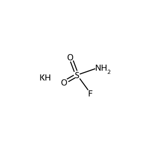 NS(=O)(=O)F.[KH]